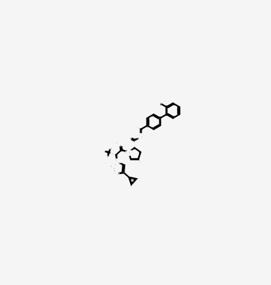 C[C@H](NC(=O)[C@@H]1C[C@@H](O)CN1C(=O)[C@@H](n1cc(C2CC2)nn1)C(C)(C)C)c1ccc(-c2ccccc2Cl)cc1